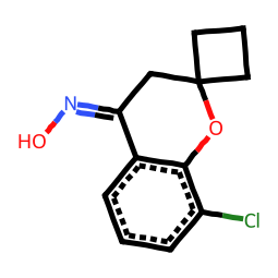 O/N=C1/CC2(CCC2)Oc2c(Cl)cccc21